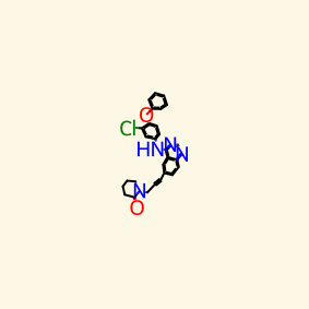 O=C1CCCCN1CC#Cc1ccc2ncnc(Nc3ccc(Oc4ccccc4)c(Cl)c3)c2c1